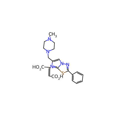 CN1CCN(Cc2cn3nc(-c4ccccc4)sc3n2)CC1.O=C(O)C=CC(=O)O